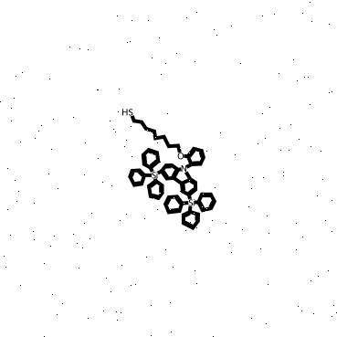 SCCCCCCCCOc1ccccc1-n1c2ccc([Si](c3ccccc3)(c3ccccc3)c3ccccc3)cc2c2cc([Si](c3ccccc3)(c3ccccc3)c3ccccc3)ccc21